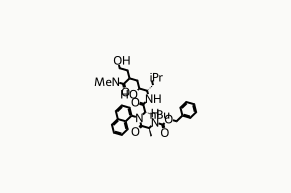 CCCC[C@@H](C(=O)N[C@@H](CC(C)C)[C@@H](O)CC(CCO)C(=O)NC)N(C(=O)[C@H](C)NC(=O)OCc1ccccc1)c1cccc2ccccc12